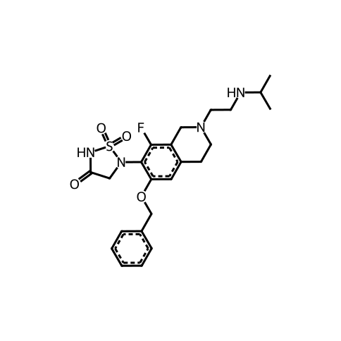 CC(C)NCCN1CCc2cc(OCc3ccccc3)c(N3CC(=O)NS3(=O)=O)c(F)c2C1